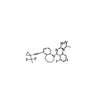 Cc1nnc2nc(N3CCCCc4c(C#CC5(C(C)(F)F)CC5)cccc43)c3c(F)cncc3n12